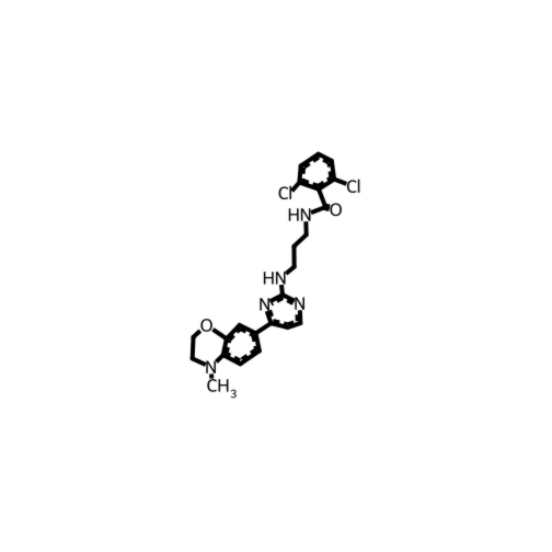 CN1CCOc2cc(-c3ccnc(NCCCNC(=O)c4c(Cl)cccc4Cl)n3)ccc21